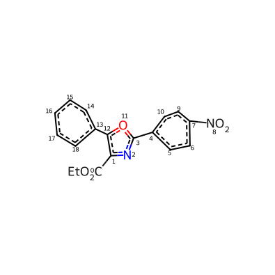 CCOC(=O)c1nc(-c2ccc([N+](=O)[O-])cc2)oc1-c1ccccc1